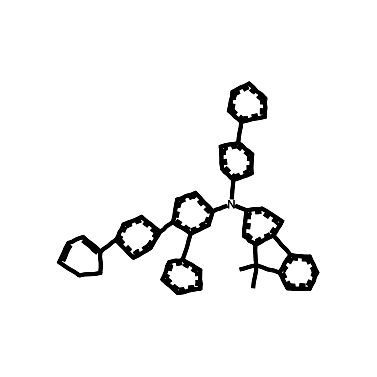 CC1(C)c2ccccc2-c2ccc(N(c3ccc(-c4ccccc4)cc3)c3ccc(-c4ccc(C5=CC=CCC5)cc4)c(-c4ccccc4)c3)cc21